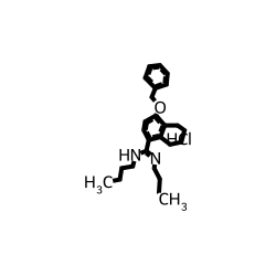 CCCCN=C(NCCCC)c1ccc(OCc2ccccc2)c2c1CCCC2.Cl